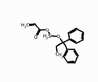 C=CC(=O)O[SiH2]OC(CC)(c1ccccc1)c1ccccc1